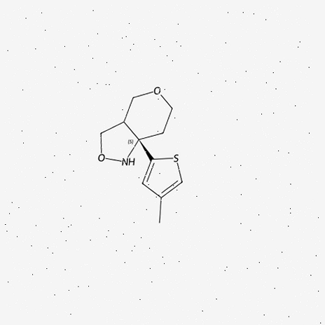 Cc1csc([C@]23CCOCC2CON3)c1